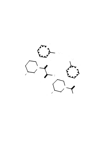 CCOC(=O)C(=O)N1C[C@@H](C)CC[C@@H]1c1ccnc(OC)c1.COc1cc([C@H]2CC[C@H](C)CN2C(=O)C(N)=O)ccn1